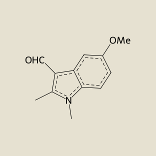 COc1ccc2c(c1)c(C=O)c(C)n2C